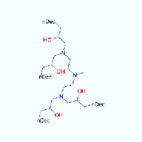 CCCCCCCCCCCC(O)CN(CCN(C)CCN(CC(O)CCCCCCCCCCC)CC(O)CCCCCCCCCCC)CC(O)CCCCCCCCCCC